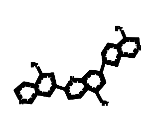 CC(C)c1cncc2cc(-c3cc(C(C)C)c4ccc(-c5cc(C(C)C)c6ccncc6c5)nc4c3)ccc12